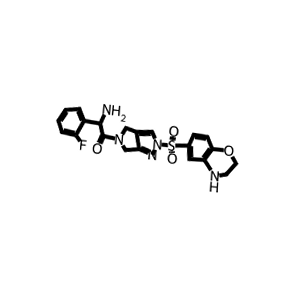 NC(C(=O)N1Cc2cn(S(=O)(=O)c3ccc4c(c3)NCCO4)nc2C1)c1ccccc1F